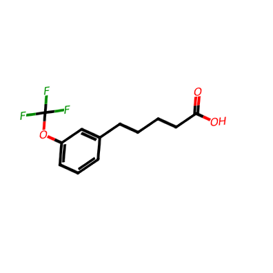 O=C(O)CCCCc1cccc(OC(F)(F)F)c1